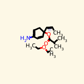 C/C=C\C1(OC(=O)C(C)C)C=CC(N)=CC1.CCOCC